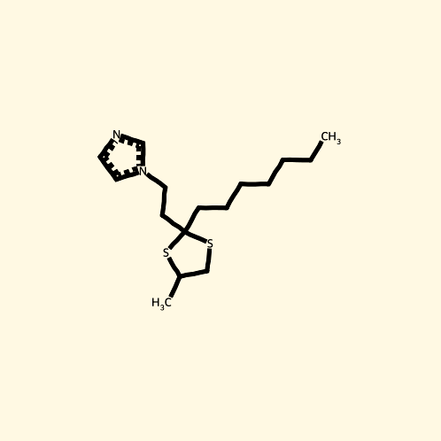 CCCCCCCC1(CCn2ccnc2)SCC(C)S1